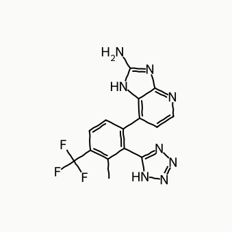 Cc1c(C(F)(F)F)ccc(-c2ccnc3nc(N)[nH]c23)c1-c1nnn[nH]1